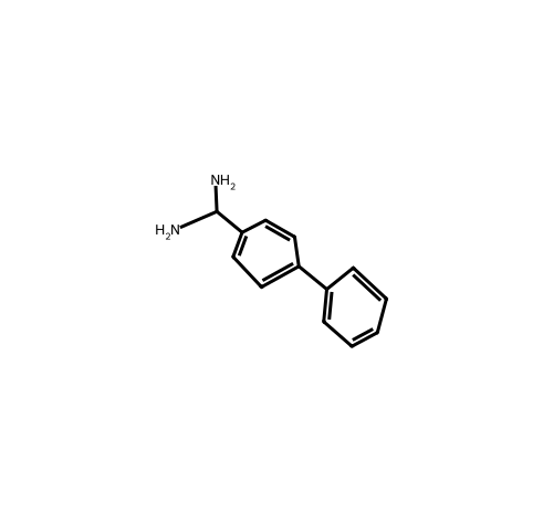 NC(N)c1ccc(-c2ccccc2)cc1